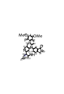 C=C1N(c2c(F)c(OC)cc(OC)c2F)Cc2cnc(/C(=C/BC)C(C)=N)cc2N1c1ccc2c(c1)C(=O)N(C)C2